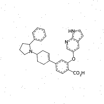 O=C(O)c1ccc(C2=CCC(N3CCCC3c3ccccc3)CC2)cc1Oc1cnc2[nH]ccc2c1